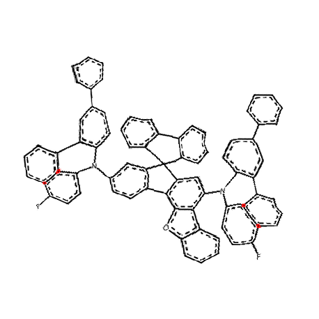 Fc1ccc(N(c2ccc3c(c2)C2(c4ccccc4-c4ccccc42)c2cc(N(c4ccc(F)cc4)c4ccc(-c5ccccc5)cc4-c4ccccc4)c4c(oc5ccccc54)c2-3)c2ccc(-c3ccccc3)cc2-c2ccccc2)cc1